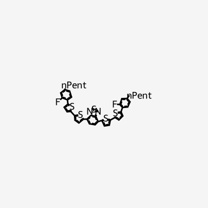 CCCCCc1ccc(-c2ccc(-c3ccc(-c4ccc(-c5ccc(-c6ccc(-c7ccc(CCCCC)cc7F)s6)s5)c5nsnc45)s3)s2)c(F)c1